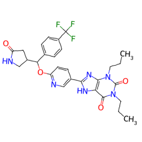 CCCn1c(=O)c2[nH]c(-c3ccc(OC(c4ccc(C(F)(F)F)cc4)C4CNC(=O)C4)nc3)nc2n(CCC)c1=O